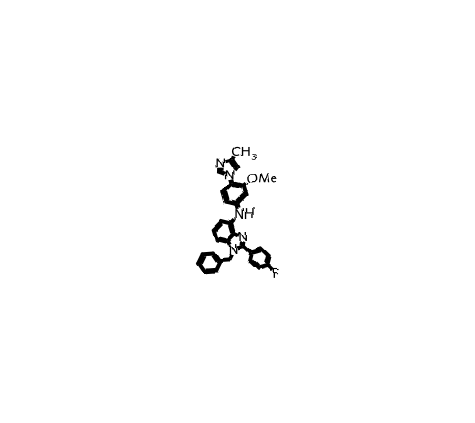 COc1cc(Nc2cccc3c2nc(-c2ccc(F)cc2)n3Cc2ccccc2)ccc1-n1cnc(C)c1